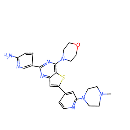 CN1CCN(c2cc(-c3cc4nc(-c5ccc(N)nc5)nc(N5CCOCC5)c4s3)ccn2)CC1